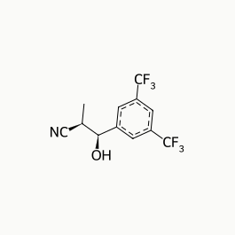 C[C@H](C#N)[C@H](O)c1cc(C(F)(F)F)cc(C(F)(F)F)c1